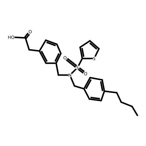 CCCCc1ccc(CN(Cc2cccc(CC(=O)O)c2)S(=O)(=O)c2cccs2)cc1